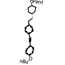 CCCCC[C@H]1CC[C@H](CCc2ccc(C#Cc3ccc(OCCCC)cc3)cc2)CC1